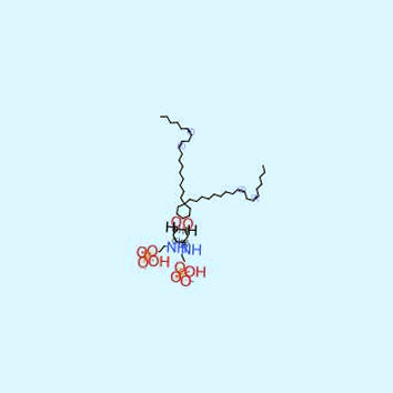 CCCCC/C=C\C/C=C\CCCCCCCCC1(CCCCCCCC/C=C\C/C=C\CCCCC)CCC2(CC1)O[C@H]1C[C@@H](NCCOP(=O)(O)OC)[C@@H](NCCOP(=O)(O)OC)C[C@H]1O2